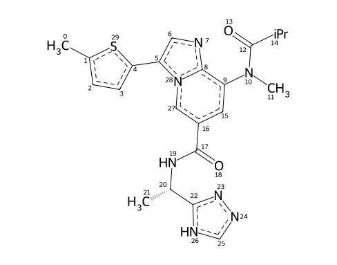 Cc1ccc(-c2cnc3c(N(C)C(=O)C(C)C)cc(C(=O)N[C@@H](C)c4nnc[nH]4)cn23)s1